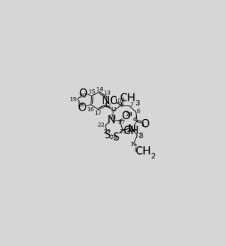 C=CCN1C(=O)CC[C@](C)(C#N)[C@H](c2ccc3c(c2)OCO3)N2CSSC1(C)C2=O